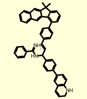 CC1(C)c2cc3ccccc3cc2-c2c(-c3ccc(/C=C/C(NC(=N)c4ccccc4)c4ccc(-c5ccc6c(c5)C=CCN6)cc4)cc3)cccc21